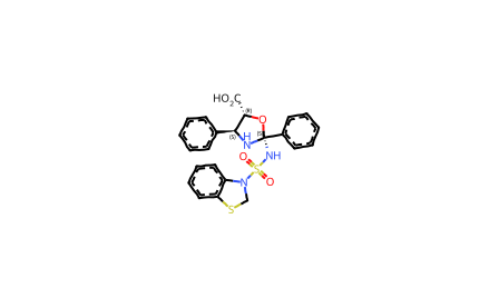 O=C(O)[C@@H]1O[C@@](NS(=O)(=O)N2CSc3ccccc32)(c2ccccc2)N[C@H]1c1ccccc1